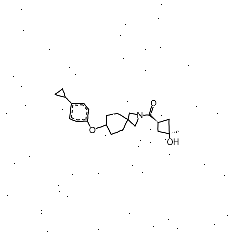 C[C@]1(O)C[C@@H](C(=O)N2CC3(CCC(Oc4ccc(C5CC5)cc4)CC3)C2)C1